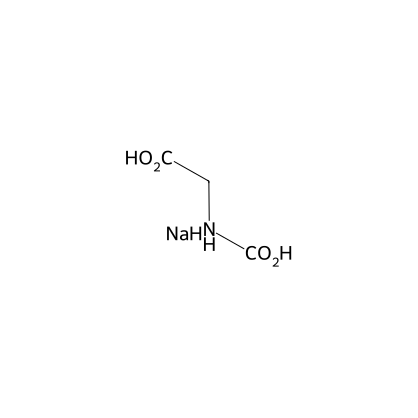 O=C(O)CNC(=O)O.[NaH]